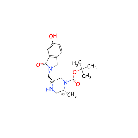 C[C@@H]1CN[C@@H](CN2Cc3ccc(O)cc3C2=O)CN1C(=O)OC(C)(C)C